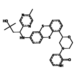 Cc1cnc(C(CC(C)(C)O)Nc2ccc3c(c2)Sc2cccc(C4CN(c5ccc[nH]c5=O)CCO4)c2S3)cn1